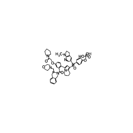 CN1CCc2cc(N(C(=O)c3cc(-c4ccc(OCC(=O)N5CCCCC5)cc4C(=O)N4Cc5ccccc5C[C@H]4CN4CCOCC4)n4c3CCCC4)c3ccc(OP(=O)(O)O)cc3)cnc21